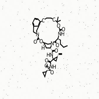 C=C[C@@H]1C[C@]1(NC(=O)[C@@H]1C[C@@H]2CN1C(=O)[C@H](CCCC)NC(=O)OC(C)(C)CCCCc1cccc3c1CN(C3)C(=O)O2)C(=O)NS(=O)(=O)C1CC1